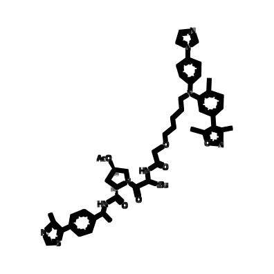 CC(=O)O[C@@H]1C[C@@H](C(=O)NC(C)c2ccc(-c3scnc3C)cc2)N(C(=O)C(NC(=O)COCCCCCN(c2ccc(-n3ccnc3)cc2)c2cc(-c3c(C)noc3C)ccc2C)C(C)(C)C)C1